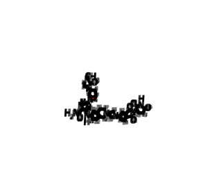 CN1CCN(C2CC3CC2N(c2nnc(C(N)=O)c(Nc4ccc5c(c4)CCN(C4CN(c6ccc7c(c6)C(=O)N(C6CCC(=O)NC6=O)C7=O)C4)C5)n2)C3)C1=O